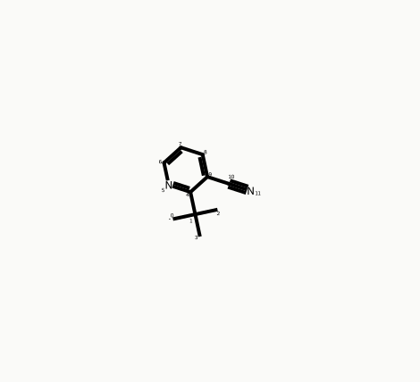 [CH2]C(C)(C)c1ncccc1C#N